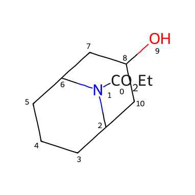 CCOC(=O)N1C2CCCC1CC(O)C2